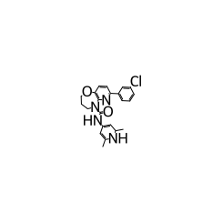 CC1=CC(NC(=O)N2CCCOc3ccc(-c4cccc(Cl)c4)nc32)=CC(C)N1